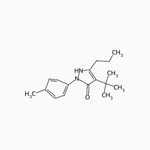 CCCc1[nH]n(-c2ccc(C)cc2)c(=O)c1C(C)(C)C